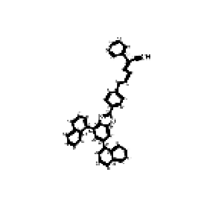 C#C/C(=C\C=C/Cc1ccc(-c2nc3c(-c4cccc5ccccc45)cc(-c4cccc5ccccc45)cc3o2)cc1)c1cccnc1